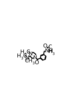 CC(=O)NCc1cccc(C(=O)N2CCN(C)C(N(C)C)C2)c1